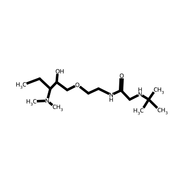 CCC(C(O)COCCNC(=O)CNC(C)(C)C)N(C)C